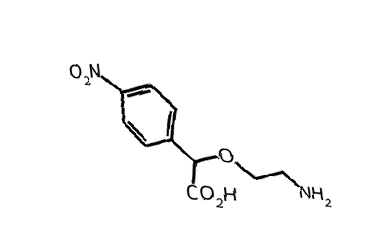 NCCOC(C(=O)O)c1ccc([N+](=O)[O-])cc1